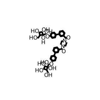 O=C(c1cccc(-c2ccc(OC(O)C3(O)C(O)C(O)C3CO)cc2)c1)N1CCN(C(=O)c2cccc(-c3ccc(OC(O)C4(O)C(O)C(O)C4CO)cc3)c2)CC1